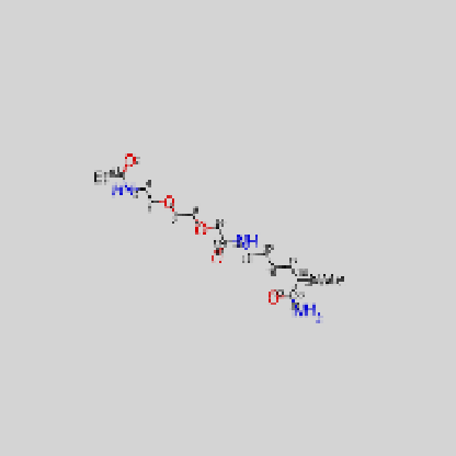 CCC(=O)NCCOCCOCC(=O)NCCCCC(NC)C(N)=O